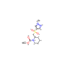 CC(C)n1cc(S(=O)(=O)CC2CCCCN2C(=O)OC(C)(C)C)cn1